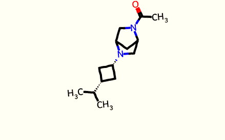 CC(=O)N1CC2CC1CN2[C@H]1C[C@@H](C(C)C)C1